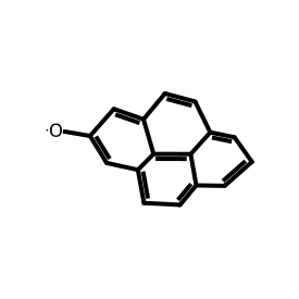 [O]c1cc2ccc3cccc4ccc(c1)c2c34